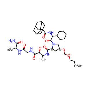 CCCCC(NC(=O)CNC(=O)C(=O)C(CCC)NC(=O)[C@@H]1C[C@@H](OCOCCOC)CN1C(=O)C(NC(=O)C12CC3CC(CC(C3)C1)C2)C1CCCCC1)C(N)=O